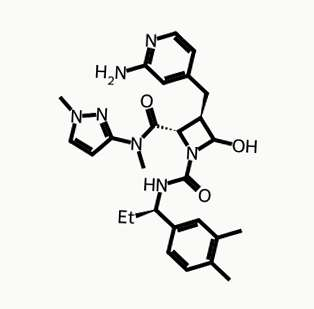 CC[C@@H](NC(=O)N1C(O)[C@H](Cc2ccnc(N)c2)[C@H]1C(=O)N(C)c1ccn(C)n1)c1ccc(C)c(C)c1